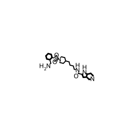 NCc1ccccc1S(=O)(=O)N1CCC(CCCCNC(=O)c2cc3cnccc3[nH]2)CC1